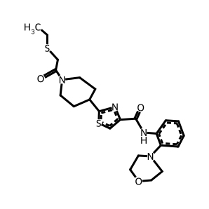 CCSCC(=O)N1CCC(c2nc(C(=O)Nc3ccccc3N3CCOCC3)cs2)CC1